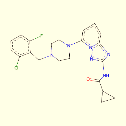 O=C(Nc1nc2cccc(N3CCN(Cc4c(F)cccc4Cl)CC3)n2n1)C1CC1